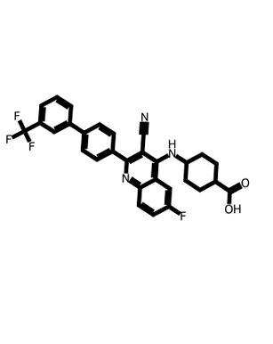 N#Cc1c(-c2ccc(-c3cccc(C(F)(F)F)c3)cc2)nc2ccc(F)cc2c1NC1CCC(C(=O)O)CC1